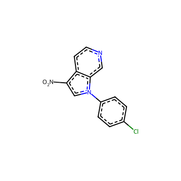 O=[N+]([O-])c1cn(-c2ccc(Cl)cc2)c2cnccc12